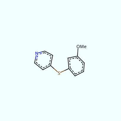 COc1cccc(Sc2ccncc2)c1